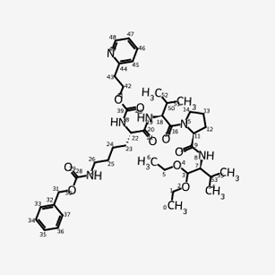 CCOC(OCC)[C@@H](NC(=O)[C@@H]1CCCN1C(=O)[C@@H](NC(=O)[C@H](CCCCNC(=O)OCc1ccccc1)NC(=O)OCCc1ccccn1)C(C)C)C(C)C